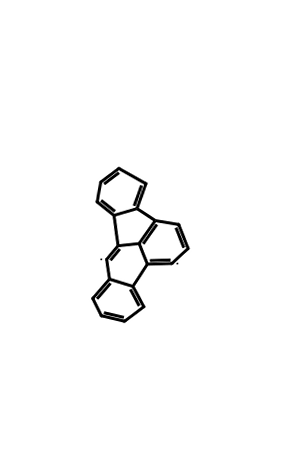 [c]1c2c3c(cc[c]c3c3ccccc13)-c1ccccc1-2